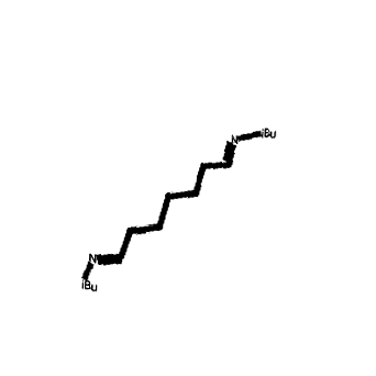 CCC(C)N=CCCCCCC=NC(C)CC